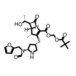 C[C@@H](O)[C@H]1C(=O)N2C(C(=O)OCOC(=O)C(C)(C)C)=C(S[C@@H]3CN[C@@H](N(C=O)Cc4ccco4)C3)[C@H](C)[C@H]12